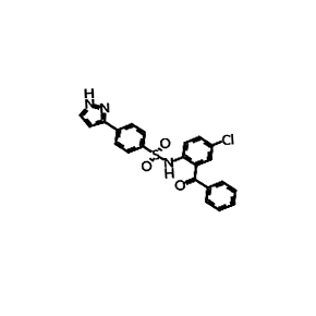 O=C(c1ccccc1)c1cc(Cl)ccc1NS(=O)(=O)c1ccc(-c2cc[nH]n2)cc1